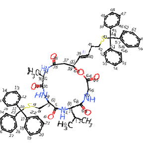 CC(C)[C@H]1NC(=O)[C@@H](CSC(c2ccccc2)(c2ccccc2)c2ccccc2)NC(=O)[C@@H](C)NC(=O)C[C@@H](/C=C/CCSC(c2ccccc2)(c2ccccc2)c2ccccc2)OC(=O)CNC1=O